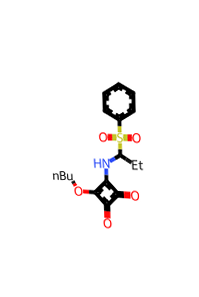 CCCCOc1c(NC(CC)S(=O)(=O)c2ccccc2)c(=O)c1=O